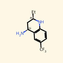 CC[C@@H]1C[C@H](N)c2cc(C(F)(F)F)ccc2N1